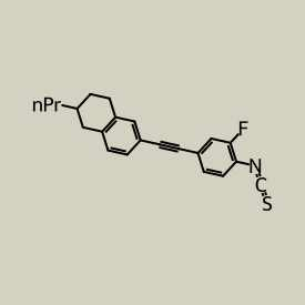 CCCC1CCc2cc(C#Cc3ccc(N=C=S)c(F)c3)ccc2C1